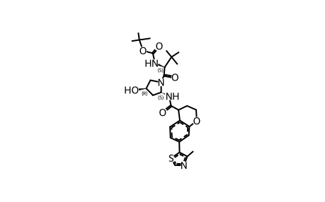 Cc1ncsc1-c1ccc2c(c1)OCCC2C(=O)N[C@@H]1C[C@@H](O)CN1C(=O)[C@@H](NC(=O)OC(C)(C)C)C(C)(C)C